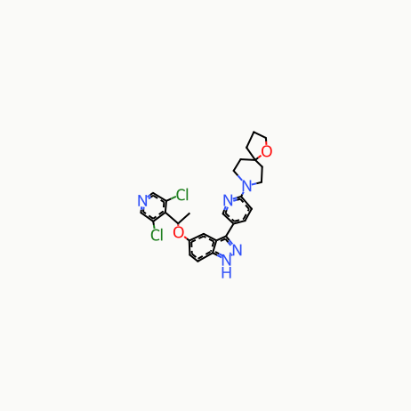 CC(Oc1ccc2[nH]nc(-c3ccc(N4CCC5(CCCO5)CC4)nc3)c2c1)c1c(Cl)cncc1Cl